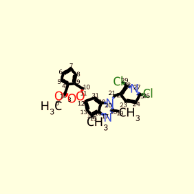 COC(=O)c1ccccc1COc1cc(C)c2nc(C)n(Cc3ccc(Cl)nc3Cl)c2c1